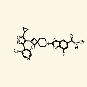 CC(C)NC(=O)c1cc(F)c2nc(N3CCC4(C=C(c5c(-c6c(Cl)cncc6Cl)noc5C5CC5)C4)CC3)sc2c1